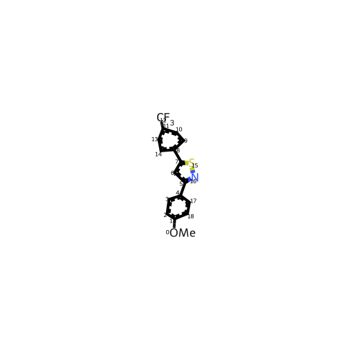 COc1ccc(-c2[c]c(-c3ccc(C(F)(F)F)cc3)sn2)cc1